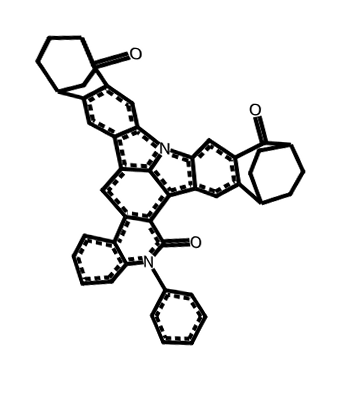 O=C1c2cc3c(cc2C2CCC1CC2)c1cc2c4ccccc4n(-c4ccccc4)c(=O)c2c2c4cc5c(cc4n3c12)C(=O)C1CCC5CC1